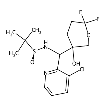 CC(C)(C)[S@+]([O-])NC(c1ncccc1Cl)C1(O)CCC(F)(F)CC1